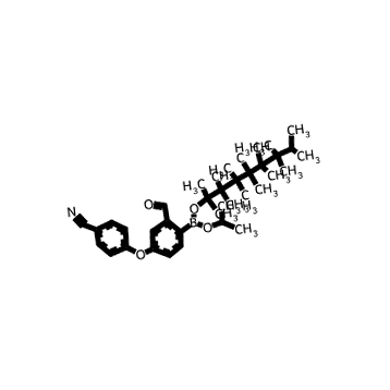 CC(C)OB(OC(C)(C)C(C)(C)C(C)(C)C(C)(C)C(C)(C)C(C)(C)C(C)C)c1ccc(Oc2ccc(C#N)cc2)cc1C=O